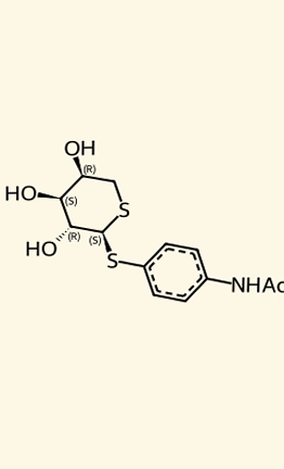 CC(=O)Nc1ccc(S[C@@H]2SC[C@H](O)[C@H](O)[C@H]2O)cc1